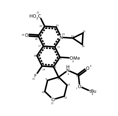 COc1c(C2(NC(=O)OC(C)(C)C)CCOCC2)c(F)cc2c(=O)c(C(=O)O)cn(C3CC3)c12